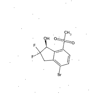 CS(=O)(=O)c1ccc(Br)c2c1[C@H](O)C(F)(F)C2